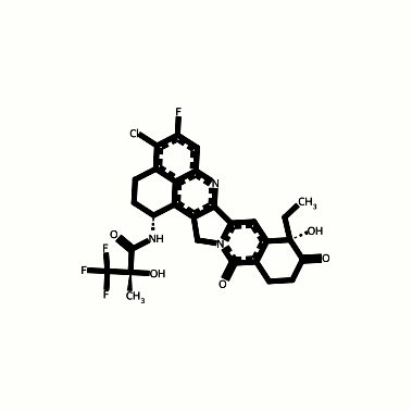 CC[C@@]1(O)C(=O)CCc2c1cc1n(c2=O)Cc2c-1nc1cc(F)c(Cl)c3c1c2[C@H](NC(=O)[C@](C)(O)C(F)(F)F)CC3